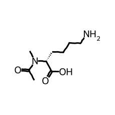 CC(=O)N(C)[C@H](CCCCN)C(=O)O